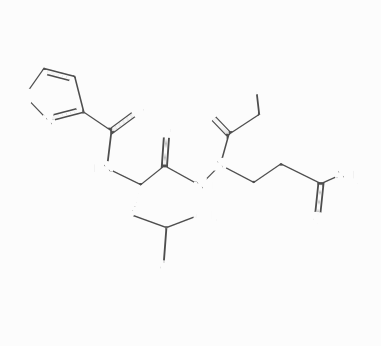 CC(C)C[C@H](NC(=O)c1ccon1)C(=O)NN(CCC(N)=O)C(=O)CCl